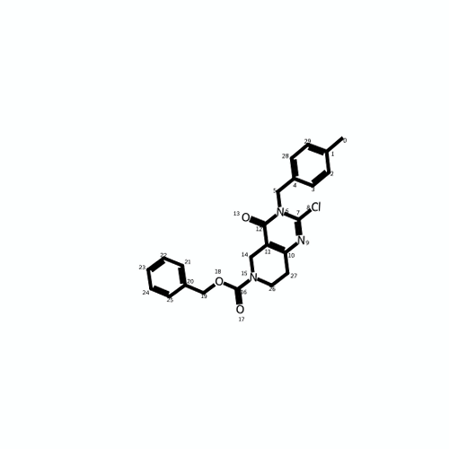 Cc1ccc(Cn2c(Cl)nc3c(c2=O)CN(C(=O)OCc2ccccc2)CC3)cc1